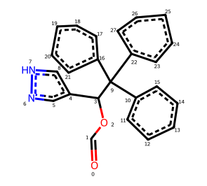 O=COC(c1cn[nH]c1)C(c1ccccc1)(c1ccccc1)c1ccccc1